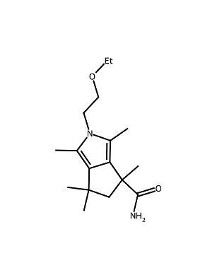 CCOCCn1c(C)c2c(c1C)C(C)(C(N)=O)CC2(C)C